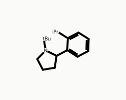 CC(C)c1ccccc1C1CCCN1C(C)(C)C